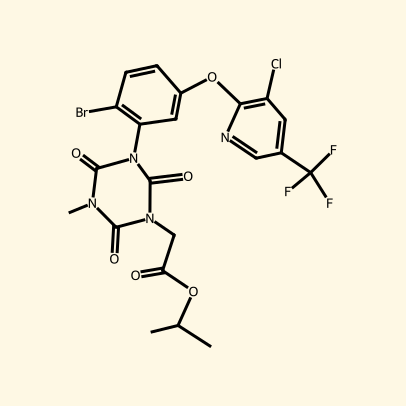 CC(C)OC(=O)Cn1c(=O)n(C)c(=O)n(-c2cc(Oc3ncc(C(F)(F)F)cc3Cl)ccc2Br)c1=O